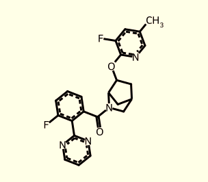 Cc1cnc(OC2CC3CC2N(C(=O)c2cccc(F)c2-c2ncccn2)C3)c(F)c1